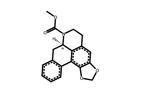 COC(=O)N1CCc2cc3c(c4c2[C@H]1Cc1ccccc1-4)OCO3